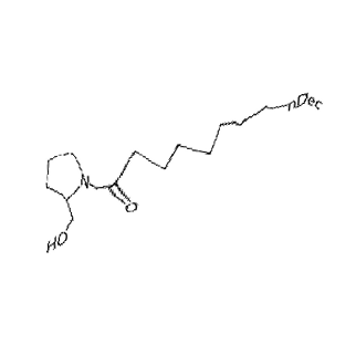 CCCCCCCCCCCCCCCCCC(=O)N1CCCC1CO